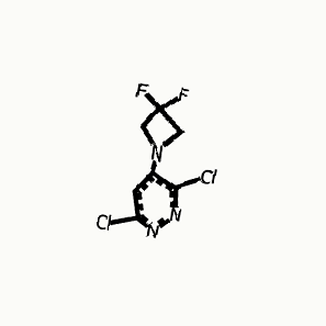 FC1(F)CN(c2cc(Cl)nnc2Cl)C1